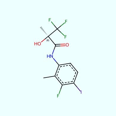 Cc1c(NC(=O)[C@@](C)(O)C(F)(F)F)ccc(I)c1F